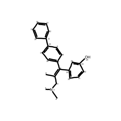 C/C(CN(C)C)=C(\c1ccc(-c2ccccc2)cc1)c1cccc(O)c1